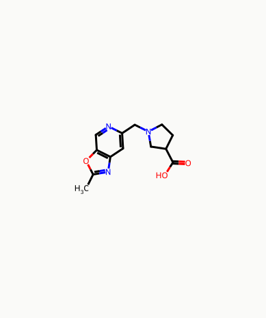 Cc1nc2cc(CN3CCC(C(=O)O)C3)ncc2o1